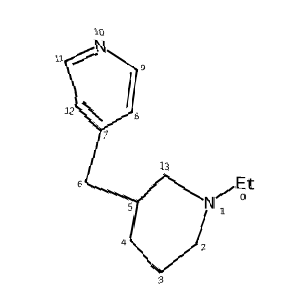 CCN1CCCC(Cc2ccncc2)C1